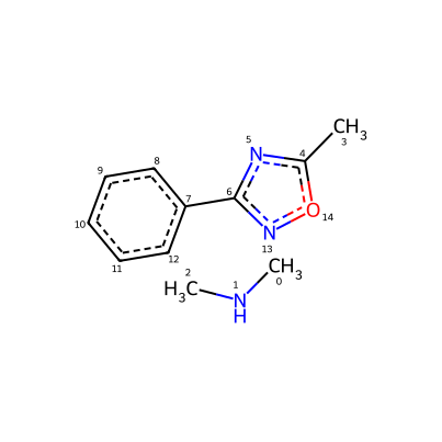 CNC.Cc1nc(-c2ccccc2)no1